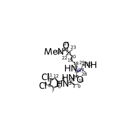 CC=C(NCc1ccc(Cl)c(Cl)c1)NC(=O)/C(NCCCC(C)(C)C(=O)NC)=C(\C)C=N